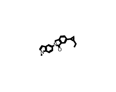 CCC1CC1c1ccc2c(c1)C(=O)N(c1ccc3c(ccn3C)c1)C2